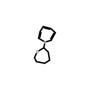 C1=CC=CN(C2CCCCCO2)C=C1